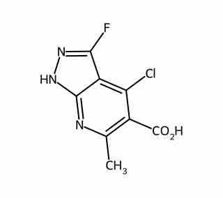 Cc1nc2[nH]nc(F)c2c(Cl)c1C(=O)O